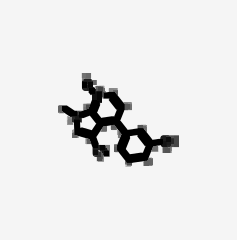 Cn1cc(C#N)c2c(-c3cccc(O)c3)cc[n+]([O-])c21